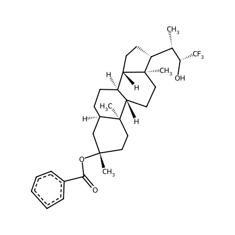 C[C@H]([C@@H](O)C(F)(F)F)[C@H]1CC[C@H]2[C@@H]3CC[C@@H]4C[C@@](C)(OC(=O)c5ccccc5)CC[C@]4(C)[C@H]3CC[C@]12C